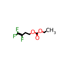 CCOC(=O)OCCC(F)=C(F)F